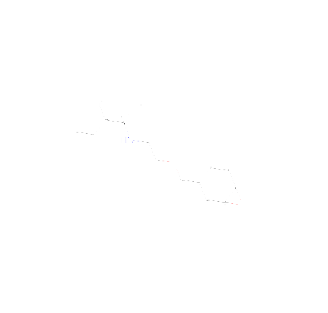 CCC(C)C(=O)NCCOCC1CCC2OC2C1